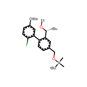 CCO[C@@H](c1cc(CO[Si](C)(C)C(C)(C)C)ccc1-c1cc(OC)ccc1F)C(C)(C)C